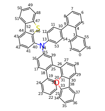 c1ccc(-c2ccccc2-c2ccc(N(c3ccc(-c4ccccc4)c(-c4cccc5c4oc4ccccc45)c3)c3cccc4c3sc3ccccc34)cc2)cc1